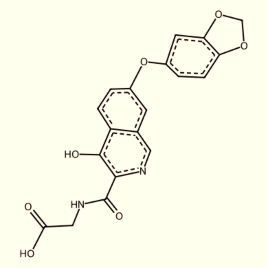 O=C(O)CNC(=O)c1ncc2cc(Oc3ccc4c(c3)OCO4)ccc2c1O